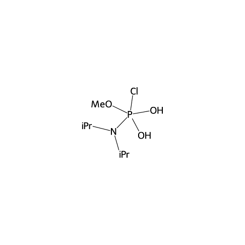 COP(O)(O)(Cl)N(C(C)C)C(C)C